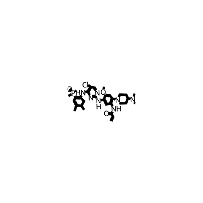 C=CC(=O)Nc1cc(Nc2ncc(Cl)c(NC3=C(P(C)(C)=O)C=C(C)C(C)C3)n2)c(OC)cc1N1CCC(N(C)C)CC1